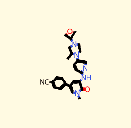 CC1CN(C2COC2)CCN1c1ccc(Nc2cc(-c3ccc(C#N)cc3)cn(C)c2=O)nc1